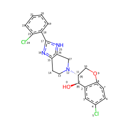 O[C@@H]1c2cc(Cl)ccc2OC[C@H]1N1CCc2nc(-c3ccccc3Cl)[nH]c2C1